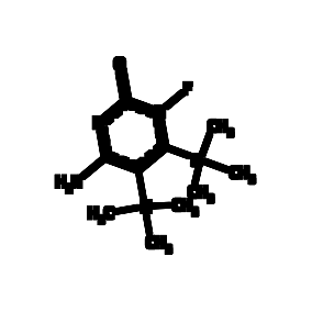 C[Si](C)(C)c1c(N)nc(=O)n(F)c1[Si](C)(C)C